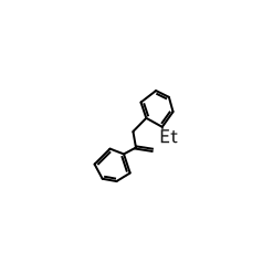 C=C(Cc1ccccc1CC)c1ccccc1